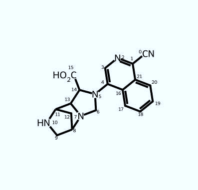 N#Cc1ncc(N2CN3C4CNC(C4)C3C2C(=O)O)c2ccccc12